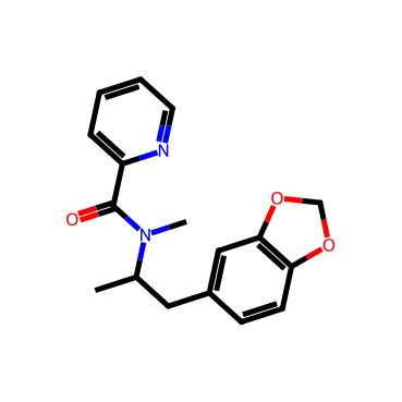 CC(Cc1ccc2c(c1)OCO2)N(C)C(=O)c1ccccn1